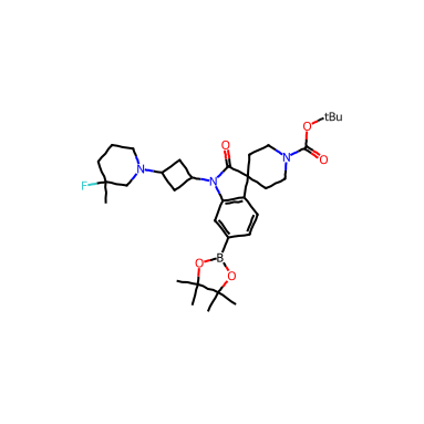 CC1(F)CCCN(C2CC(N3C(=O)C4(CCN(C(=O)OC(C)(C)C)CC4)c4ccc(B5OC(C)(C)C(C)(C)O5)cc43)C2)C1